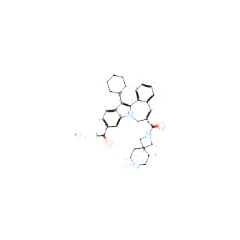 COC(=O)c1ccc2c(C3CCCCC3)c3n(c2c1)CC(C(=O)N1CC2(CCNCC2)C1)=Cc1ccccc1-3